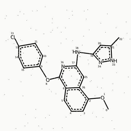 COc1cccc2c(Oc3ccc(Cl)cc3)nc(Nc3cc(C)[nH]n3)cc12